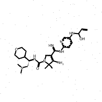 C=CC(O)Nc1ccc(NC(=N)C2=C(N)C(C)(C)N(C(=O)N[C@H](CN(C)C)C3CCOCC3)C2)nc1